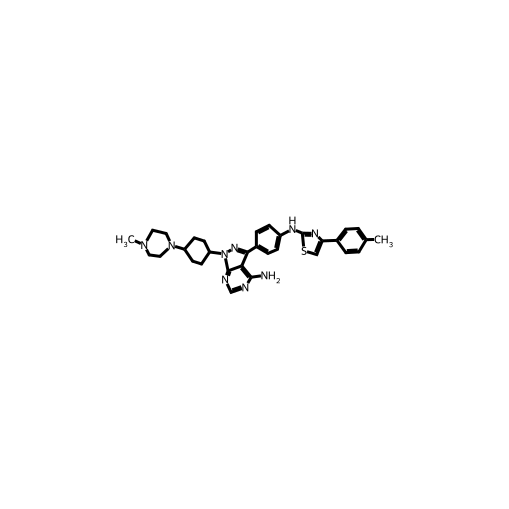 Cc1ccc(-c2csc(Nc3ccc(-c4nn(C5CCC(N6CCN(C)CC6)CC5)c5ncnc(N)c45)cc3)n2)cc1